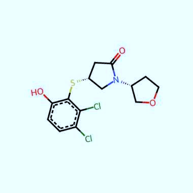 O=C1C[C@@H](Sc2c(O)ccc(Cl)c2Cl)CN1[C@@H]1CCOC1